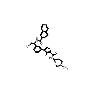 CCC(NC(=O)c1ccc2cnccc2c1)c1cccc(-c2csc(C(=O)NC3CCN(C)CC3)c2F)c1